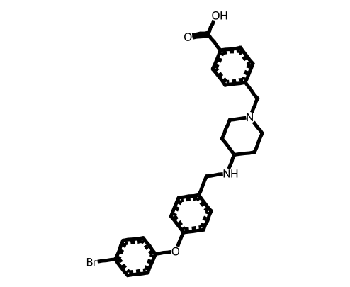 O=C(O)c1ccc(CN2CCC(NCc3ccc(Oc4ccc(Br)cc4)cc3)CC2)cc1